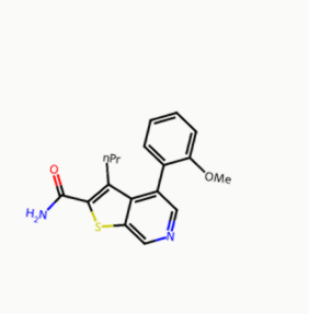 CCCc1c(C(N)=O)sc2cncc(-c3ccccc3OC)c12